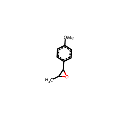 COc1ccc(C2OC2C)cc1